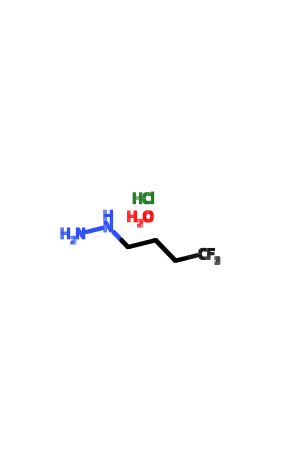 Cl.NNCCCC(F)(F)F.O